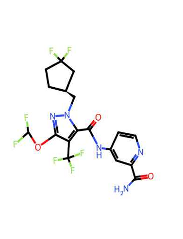 NC(=O)c1cc(NC(=O)c2c(C(F)(F)F)c(OC(F)F)nn2C[C@H]2CCC(F)(F)C2)ccn1